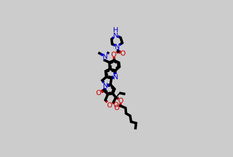 CCCCCCC(=O)O[C@]1(CC)C(=O)OCc2c1cc1n(c2=O)Cc2cc3c(CN(C)C)c(OC(=O)N4CCNCC4)ccc3nc2-1